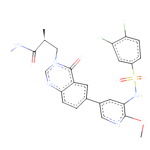 CNC(=O)[C@@H](C)Cn1cnc2ccc(-c3cnc(OC)c(NS(=O)(=O)c4ccc(F)c(Cl)c4)c3)cc2c1=O